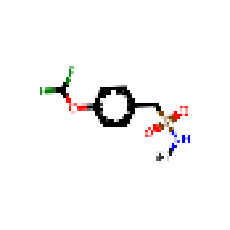 CC(C)NS(=O)(=O)Cc1ccc(OC(F)F)cc1